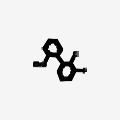 COc1[c]cccc1-c1cccc(F)c1Cl